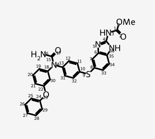 COC(=O)Nc1nc2cc(Sc3ccc(N(C(N)=O)c4cccc(Oc5ccccc5)c4)cc3)ccc2[nH]1